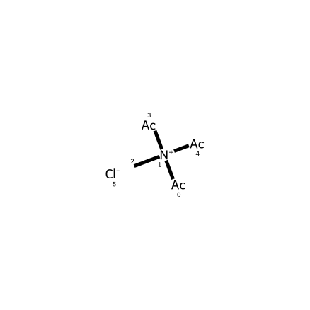 CC(=O)[N+](C)(C(C)=O)C(C)=O.[Cl-]